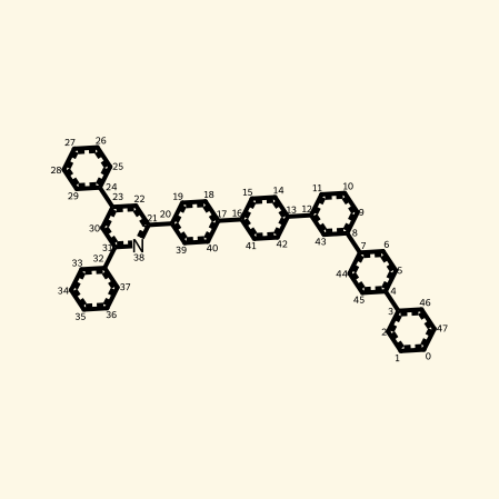 c1ccc(-c2ccc(-c3cccc(-c4ccc(-c5ccc(-c6cc(-c7ccccc7)cc(-c7ccccc7)n6)cc5)cc4)c3)cc2)cc1